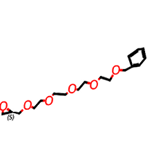 c1ccc(COCCOCCOCCOCCOC[C@H]2CO2)cc1